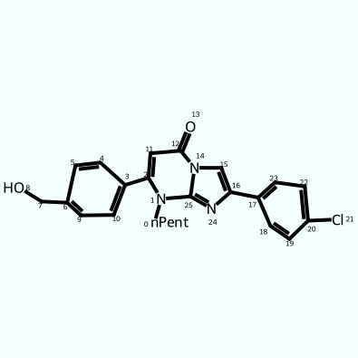 CCCCCn1c(-c2ccc(CO)cc2)cc(=O)n2cc(-c3ccc(Cl)cc3)nc12